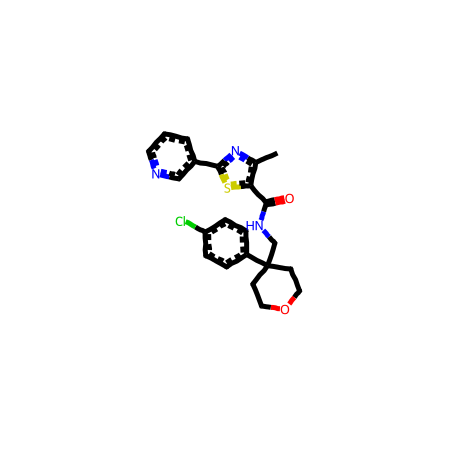 Cc1nc(-c2cccnc2)sc1C(=O)NCC1(c2ccc(Cl)cc2)CCOCC1